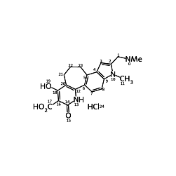 CNCc1cc2c3c(ccc2n1C)-c1[nH]c(=O)c(C(=O)O)c(O)c1CCC3.Cl